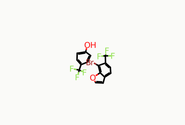 FC(F)(F)c1ccc2ccoc2c1Br.Oc1ccc(C(F)(F)F)cc1